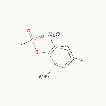 COc1cc(C)cc(OC)c1OS(C)(=O)=O